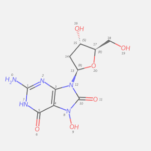 Nc1nc2c(c(=O)[nH]1)n(O)c(=O)n2[C@H]1C[C@H](O)[C@@H](CO)O1